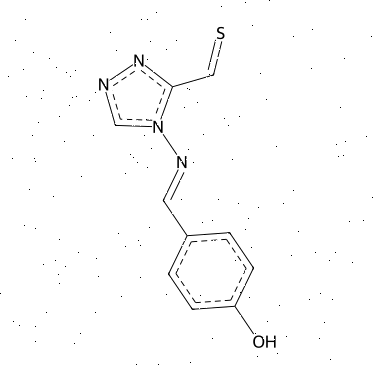 Oc1ccc(C=Nn2cnnc2C=S)cc1